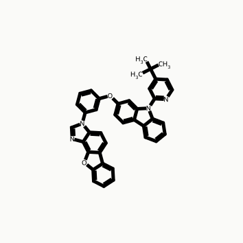 CC(C)(C)c1ccnc(-n2c3ccccc3c3ccc(Oc4cccc(-n5cnc6c7oc8ccccc8c7ccc65)c4)cc32)c1